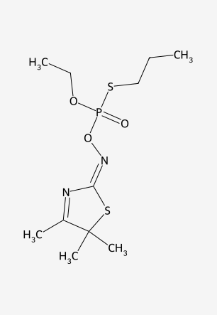 CCCSP(=O)(OCC)O/N=C1\N=C(C)C(C)(C)S1